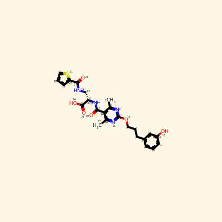 Cc1nc(OCCCc2cccc(O)c2)nc(C)c1C(=O)N[C@@H](CNC(=O)c1cccs1)C(=O)O